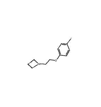 Ic1ccc(OCCN2CCC2)cc1